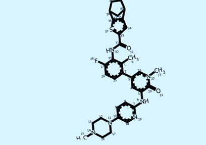 Cc1c(-c2cc(Nc3ccc(N4CCN(C)CC4)cn3)c(=O)n(C)c2)ccc(F)c1NC(=O)c1cc2c(s1)C1CCC2C1